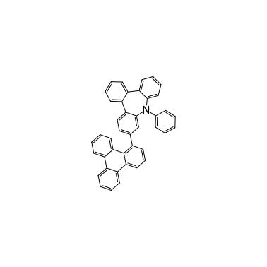 c1ccc(N2c3ccccc3-c3ccccc3-c3ccc(-c4cccc5c6ccccc6c6ccccc6c45)cc32)cc1